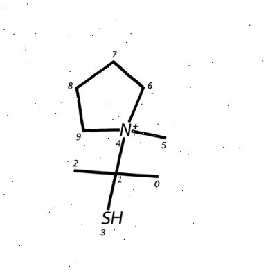 CC(C)(S)[N+]1(C)CCCC1